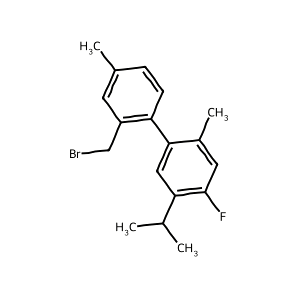 Cc1ccc(-c2cc(C(C)C)c(F)cc2C)c(CBr)c1